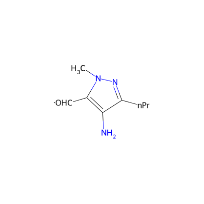 CCCc1nn(C)c([C]=O)c1N